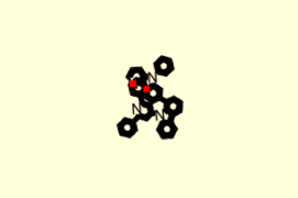 c1ccc(-c2cc(-n3c4ccccc4c4cccc(-c5ccc6c7ncccc7n(-c7ccccc7)c6c5)c43)cc(-c3ccccc3)n2)cc1